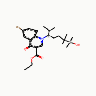 CCOC(=O)c1cn([C@H](CCC(C)(C)[Si](C)(C)O)C(C)C)c2ccc(Br)cc2c1=O